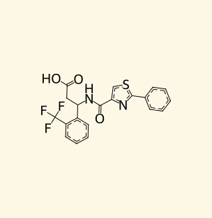 O=C(O)CC(NC(=O)c1csc(-c2ccccc2)n1)c1ccccc1C(F)(F)F